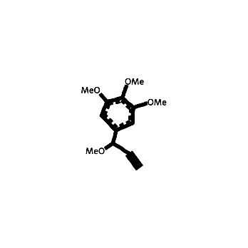 C#CC(OC)c1cc(OC)c(OC)c(OC)c1